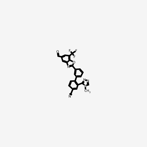 Cn1cnnc1-c1cc(C#N)ccc1-c1cccc(-c2nc3cc(C=O)cc(C(F)(F)F)c3o2)c1